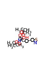 CC(C)(C)OC(=O)O[C@H]1CN(C(=O)OC(C)(C)C)[C@H](Cc2ccc(-c3ccc4scnc4c3)cc2)[C@@H]1O